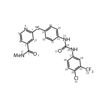 CNC(=O)c1ccnc(Sc2ccc(NC(=O)Nc3ccc(Cl)c(C(F)(F)F)c3)cc2)c1